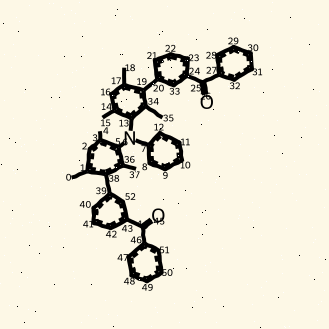 Cc1cc(C)c(N(c2ccccc2)c2c(C)cc(C)c(-c3cccc(C(=O)c4ccccc4)c3)c2C)c(C)c1-c1cccc(C(=O)c2ccccc2)c1